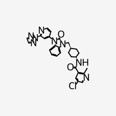 Cc1ncc(Cl)cc1C(=O)N[C@H]1CC[C@H](Cn2c(=O)n(-c3ccnc(-n4nccn4)c3)c3ccccc32)CC1